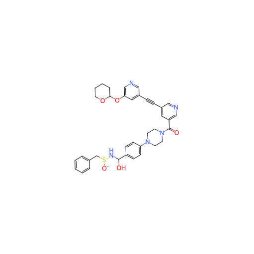 O=C(c1cncc(C#Cc2cncc(OC3CCCCO3)c2)c1)N1CCN(c2ccc(C(O)N[S+]([O-])Cc3ccccc3)cc2)CC1